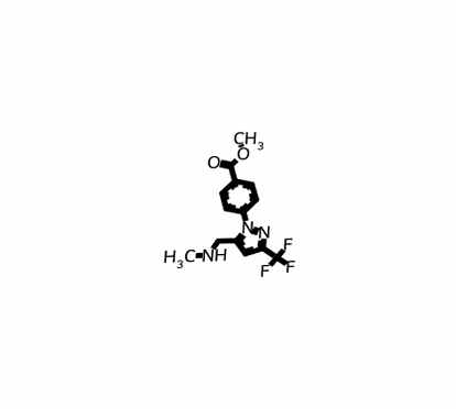 CNCc1cc(C(F)(F)F)nn1-c1ccc(C(=O)OC)cc1